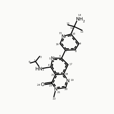 CC(C)Nc1nc(-c2ccc(C(C)(C)N)nc2)cc2ncn(C)c(=O)c12